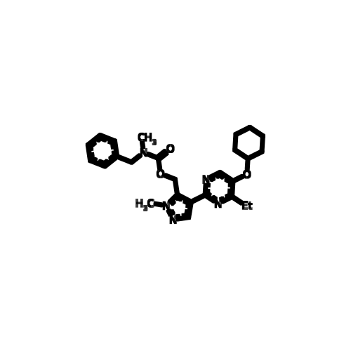 CCc1nc(-c2cnn(C)c2COC(=O)N(C)Cc2ccccc2)ncc1OC1CCCCC1